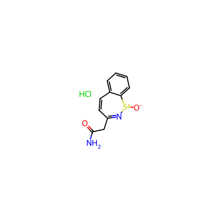 Cl.NC(=O)CC1=N[S+]([O-])c2ccccc2C=C1